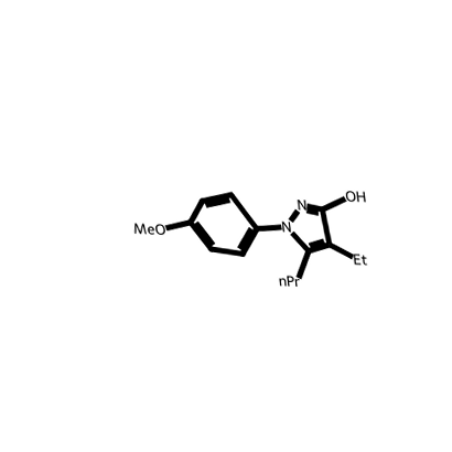 CCCc1c(CC)c(O)nn1-c1ccc(OC)cc1